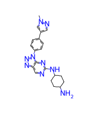 Cn1cc(-c2ccc(-n3nnc4cnc(NC5CCC(N)CC5)nc43)cc2)cn1